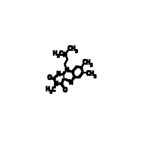 Cc1cc2nc3c(=O)n(C)c(=O)nc-3n(CCN(C)C)c2cc1C